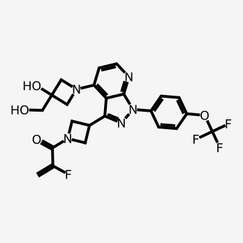 C=C(F)C(=O)N1CC(c2nn(-c3ccc(OC(F)(F)F)cc3)c3nccc(N4CC(O)(CO)C4)c23)C1